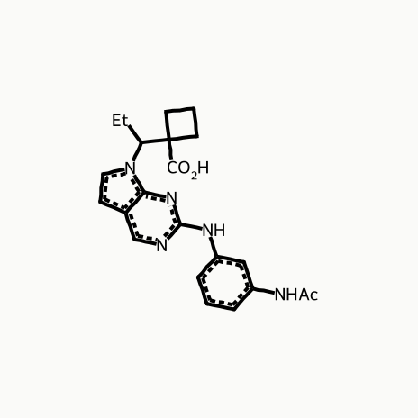 [CH2]CC(n1ccc2cnc(Nc3cccc(NC(C)=O)c3)nc21)C1(C(=O)O)CCC1